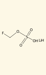 O=S(=O)(O)OCF.[LiH]